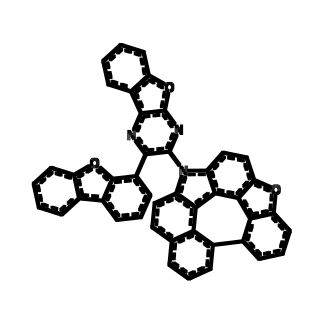 c1cc2c3c(c1)ccc1c3c3c4c(ccc3n1-c1nc3oc5ccccc5c3nc1-c1cccc3c1oc1ccccc13)oc1cccc-2c14